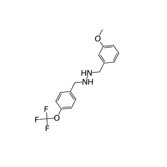 COc1cccc(CNNCc2ccc(OC(F)(F)F)cc2)c1